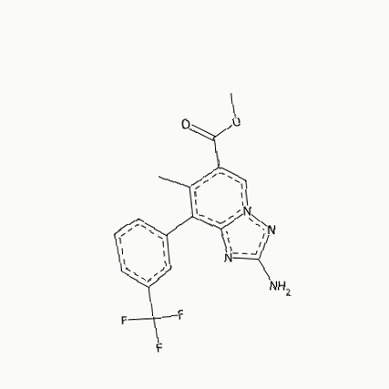 COC(=O)c1cn2nc(N)nc2c(-c2cccc(C(F)(F)F)c2)c1C